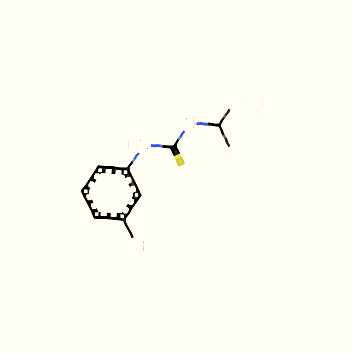 Cc1cccc(NC(=S)NC(C(=O)O)C(C)C)c1